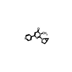 Cn1c(N2CCC3CC32)nc(-c2ccncc2)cc1=O